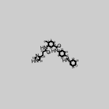 Cc1ccc(C(=O)Nc2ccc(SNc3ccccc3)cc2)cc1NC(=O)CCc1c[nH]cn1